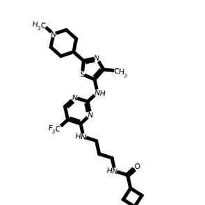 Cc1nc(C2CCN(C)CC2)sc1Nc1ncc(C(F)(F)F)c(NCCCNC(=O)C2CCC2)n1